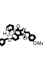 COc1ccc(Cc2nc3c(=O)n(-c4cccnc4C)c4cc(OCc5ccccc5)ccc4c3n2C)cc1